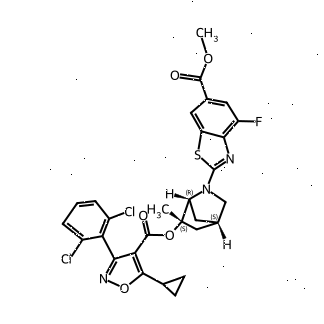 COC(=O)c1cc(F)c2nc(N3C[C@H]4C[C@@H]3[C@@](C)(OC(=O)c3c(-c5c(Cl)cccc5Cl)noc3C3CC3)C4)sc2c1